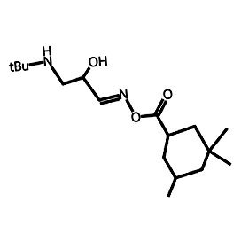 CC1CC(C(=O)ON=CC(O)CNC(C)(C)C)CC(C)(C)C1